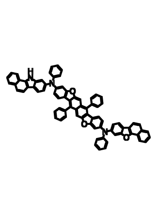 c1ccc(-c2c3cc4oc5cc(N(c6ccccc6)c6ccc7c(c6)oc6c8ccccc8ccc76)ccc5c4c(-c4ccccc4)c3cc3oc4cc(N(c5ccccc5)c5ccc6c(c5)[nH]c5c7ccccc7ccc65)ccc4c23)cc1